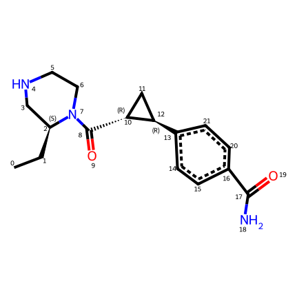 CC[C@H]1CNCCN1C(=O)[C@@H]1C[C@H]1c1ccc(C(N)=O)cc1